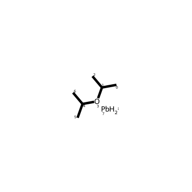 CC(C)OC(C)C.[PbH2]